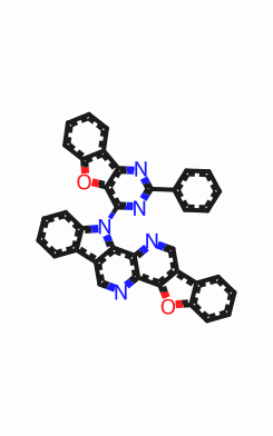 c1ccc(-c2nc(-n3c4ccccc4c4cnc5c(ncc6c7ccccc7oc65)c43)c3oc4ccccc4c3n2)cc1